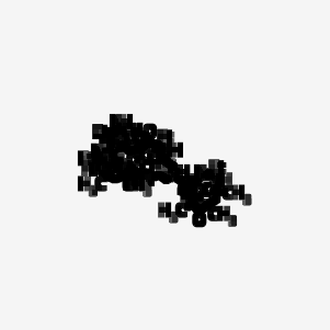 CCC(C)(N)NC(C)(C)CC(C)(C)C(=O)C(C)NCCN(CCNC(C)(CC)C(=O)C(C)(C)CC(C)(C)NC(C)(N)CC)CCNC(C)(CC)C(=O)C(C)(C)CC(C)(C)NC(C)(N)CC